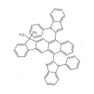 CC1(C)c2ccccc2-c2cc3c(-c4nc5ccccc5n4-c4ccccc4)c4ccccc4c(-c4nc5ccccc5n4-c4ccccc4)c3cc21